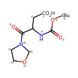 CC(C)(C)OC(=O)NC(CC(=O)O)C(=O)N1CCOC1